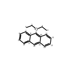 CCOCC.c1ccc2cc3ccccc3cc2c1